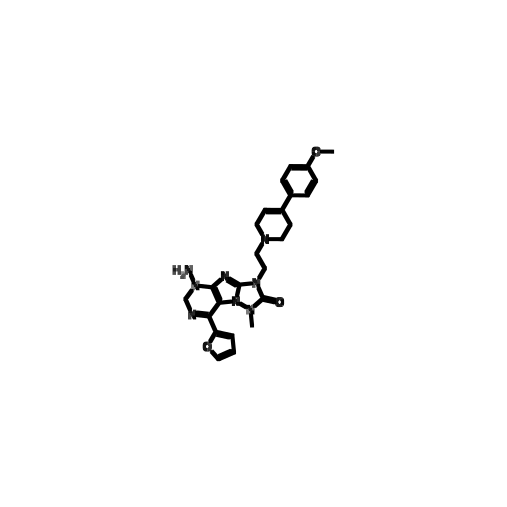 COc1ccc(C2=CCN(CCn3c(=O)n(C)n4c5c(nc34)N(N)CN=C5c3ccco3)CC2)cc1